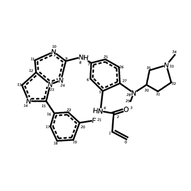 C=CC(=O)Nc1cc(Nc2ncc3cnc(-c4cccc(F)c4)n3n2)ccc1N(C)C1CCN(C)C1